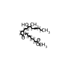 CCCC#CC[C@H](C)[C@H](O)C=CC1CCC(=O)N1CC=CCCCC(=O)OC